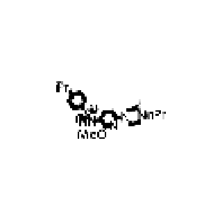 CCCN1CCN(c2ccc(NS(=O)(=O)c3ccc(C(C)C)cc3)c(OC)n2)C[C@@H]1C